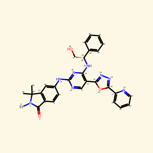 CCN1C(=O)c2ccc(Nc3ncc(-c4nnc(-c5ccccn5)o4)c(N[C@H](CO)c4ccccc4)n3)cc2C1(C)C